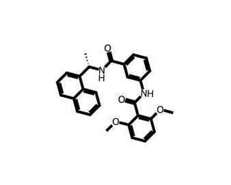 COc1cccc(OC)c1C(=O)Nc1cccc(C(=O)N[C@@H](C)c2cccc3ccccc23)c1